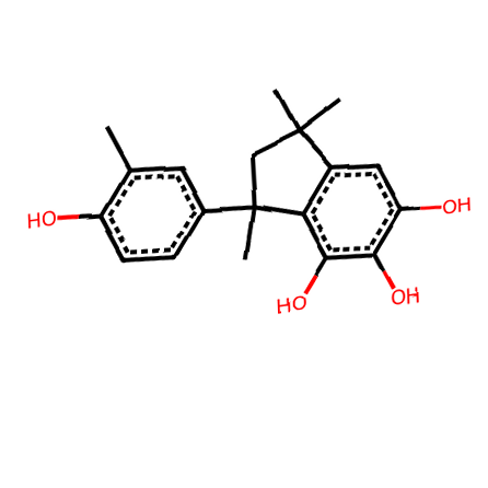 Cc1cc(C2(C)CC(C)(C)c3cc(O)c(O)c(O)c32)ccc1O